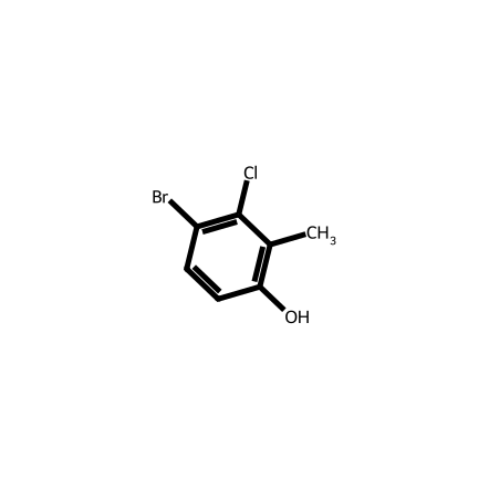 Cc1c(O)ccc(Br)c1Cl